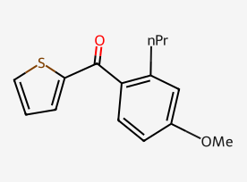 CCCc1cc(OC)ccc1C(=O)c1cccs1